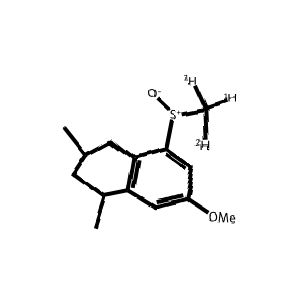 [1H]C([1H])([2H])[S+]([O-])c1cc(OC)cc2c1CC(C)CC2C